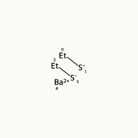 CC[S-].CC[S-].[Ba+2]